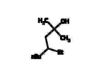 CCCCC(CC)CC(C)(C)O